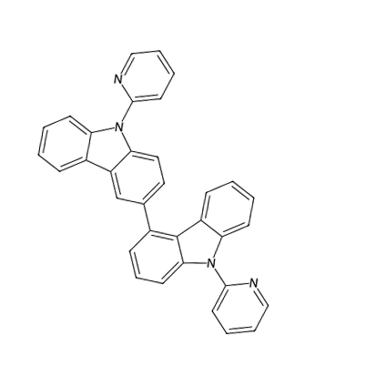 c1ccc(-n2c3ccccc3c3cc(-c4cccc5c4c4ccccc4n5-c4ccccn4)ccc32)nc1